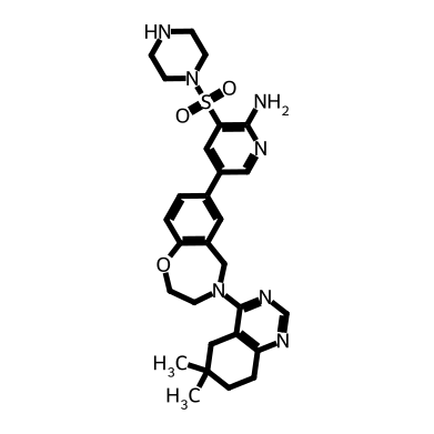 CC1(C)CCc2ncnc(N3CCOc4ccc(-c5cnc(N)c(S(=O)(=O)N6CCNCC6)c5)cc4C3)c2C1